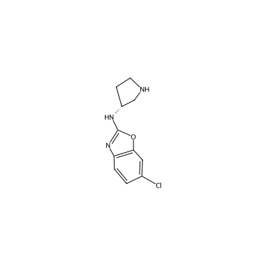 Clc1ccc2nc(N[C@@H]3CCNC3)oc2c1